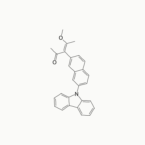 CO/C(C)=C(\C(C)=O)c1ccc2ccc(-n3c4ccccc4c4ccccc43)cc2c1